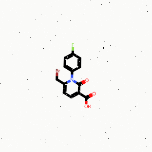 O=C(O)c1ccc(CBr)n(-c2ccc(F)cc2)c1=O